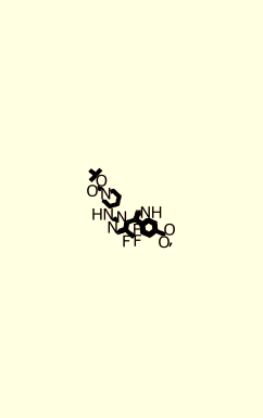 COC(=O)c1ccc2c(-c3nc(N[C@H]4CCCN(C(=O)OC(C)(C)C)C4)ncc3C(F)(F)F)c[nH]c2c1